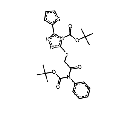 CC(C)(C)OC(=O)N(C(=O)CSc1nnc(-c2cccs2)n1C(=O)OC(C)(C)C)c1ccccc1